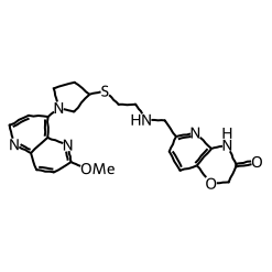 COc1ccc2nccc(N3CCC(SCCNCc4ccc5c(n4)NC(=O)CO5)C3)c2n1